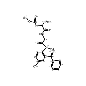 CCCCC[C@H](NC(=O)OC(C)(C)C)C(=O)NCC(=O)N(C)c1ccc(Cl)cc1C(=O)c1ccccc1